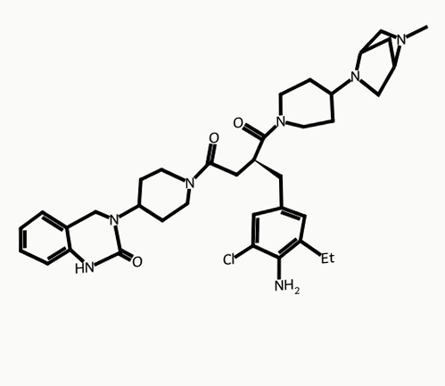 CCc1cc(C[C@@H](CC(=O)N2CCC(N3Cc4ccccc4NC3=O)CC2)C(=O)N2CCC(N3CC4CC3CN4C)CC2)cc(Cl)c1N